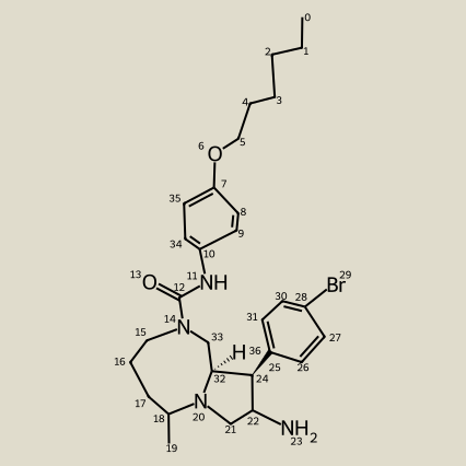 CCCCCCOc1ccc(NC(=O)N2CCCC(C)N3CC(N)[C@H](c4ccc(Br)cc4)[C@@H]3C2)cc1